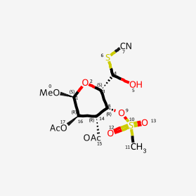 CO[C@H]1O[C@H](C(O)SC#N)[C@H](OS(C)(=O)=O)[C@H](OC(C)=O)[C@H]1OC(C)=O